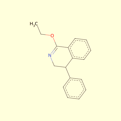 CCOC1=NCC(c2ccccc2)c2ccccc21